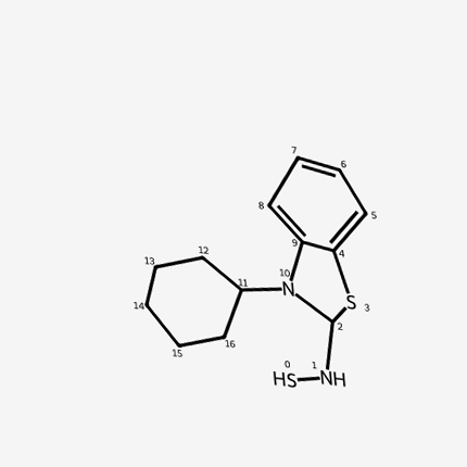 SNC1Sc2ccccc2N1C1CCCCC1